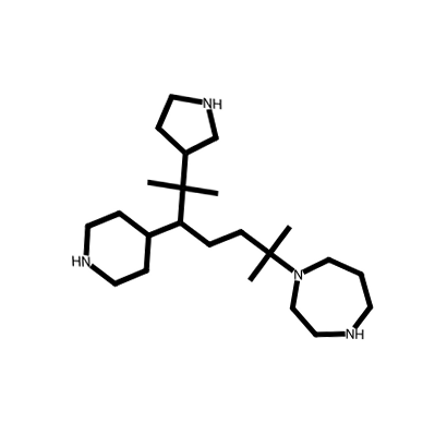 CC(C)(C1CCNC1)C(CCC(C)(C)N1CCCNCC1)C1CCNCC1